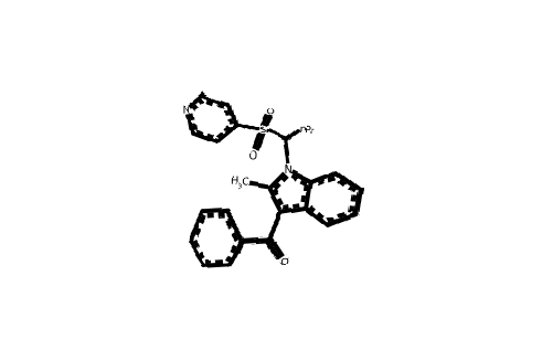 CCCC(n1c(C)c(C(=O)c2ccccc2)c2ccccc21)S(=O)(=O)c1ccncc1